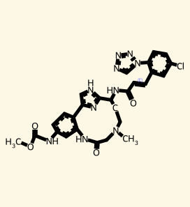 COC(=O)Nc1ccc2c(c1)NC(=O)CN(C)CCC(NC(=O)/C=C/c1cc(Cl)ccc1-n1cnnn1)c1nc-2c[nH]1